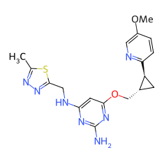 COc1ccc([C@H]2C[C@@H]2COc2cc(NCc3nnc(C)s3)nc(N)n2)nc1